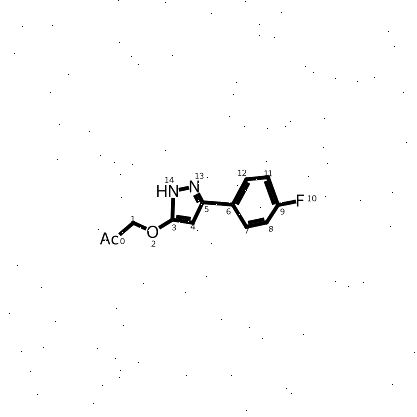 CC(=O)COc1cc(-c2ccc(F)cc2)n[nH]1